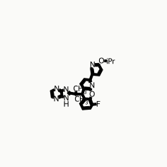 CC(C)Oc1ccc(-c2ccc3c(n2)Oc2c(F)cccc2C3C(C)(C)c2nc3nccnc3[nH]2)cn1